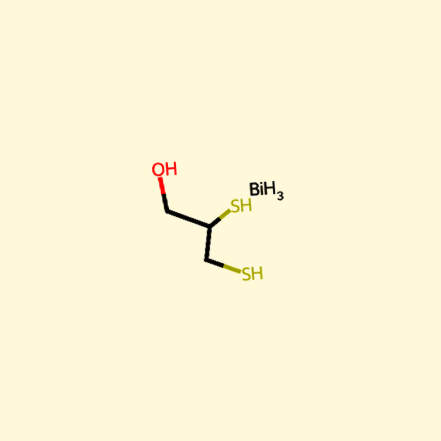 OCC(S)CS.[BiH3]